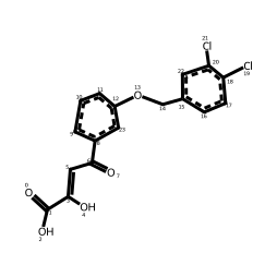 O=C(O)C(O)=CC(=O)c1cccc(OCc2ccc(Cl)c(Cl)c2)c1